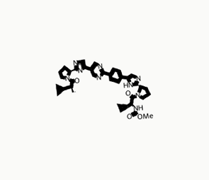 [CH2][C@H](C(=O)N1CCC[C@H]1c1ncc(-c2cnc(-c3ccc(-c4cnc([C@@H]5CCCN5C(=O)[C@@H](NC(=O)OC)C5CC5)[nH]4)cc3)nc2)[nH]1)C1CC1